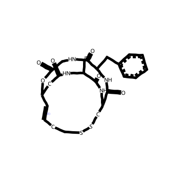 CC(C)C1NC(=O)CC2/C=C/CCSSCC(NC1=O)C(=O)NC(Cc1ccccc1)C(=O)NCC(=O)O2